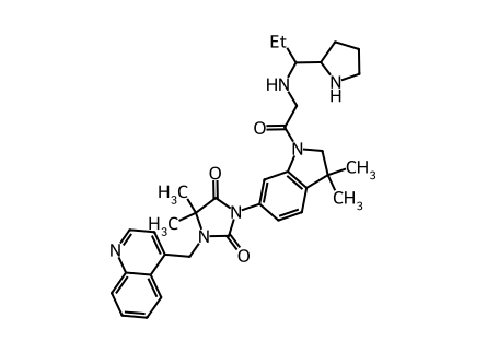 CCC(NCC(=O)N1CC(C)(C)c2ccc(N3C(=O)N(Cc4ccnc5ccccc45)C(C)(C)C3=O)cc21)C1CCCN1